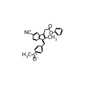 CC1=C(CC(=O)Oc2ccccc2)c2cc(C#N)ccc2C1=Cc1ccc([S+](C)[O-])cc1